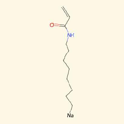 C=CC(=O)NCCCCCCC[CH2][Na]